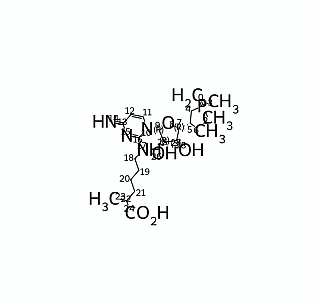 C=P(C)(C)CC(C)[C@H]1O[C@@H](n2ccc(=N)nc2NCCCCC(C)C(=O)O)[C@H](O)[C@@H]1O